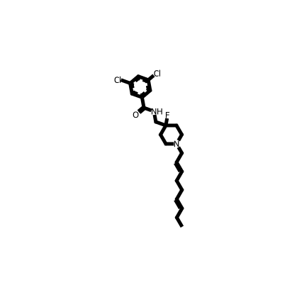 CCC=CCCC=CCN1CCC(F)(CNC(=O)c2cc(Cl)cc(Cl)c2)CC1